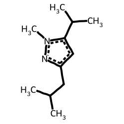 CC(C)Cc1cc(C(C)C)n(C)n1